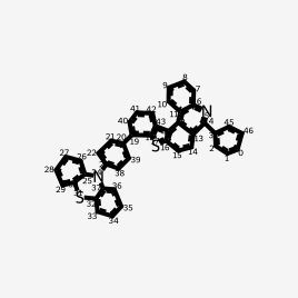 c1ccc(-c2nc3ccccc3c3c2ccc2sc4c(-c5ccc(N6c7ccccc7Sc7ccccc76)cc5)cccc4c23)cc1